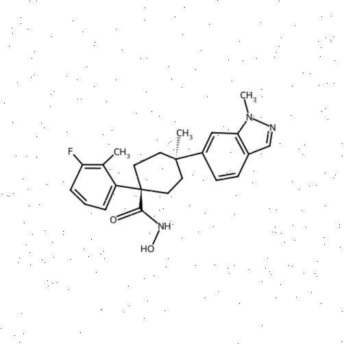 Cc1c(F)cccc1[C@]1(C(=O)NO)CC[C@@](C)(c2ccc3cnn(C)c3c2)CC1